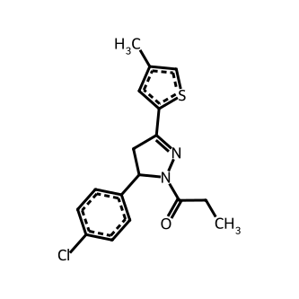 CCC(=O)N1N=C(c2cc(C)cs2)CC1c1ccc(Cl)cc1